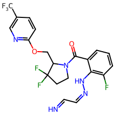 N=C/C=N\Nc1c(F)cccc1C(=O)N1CCC(F)(F)C1COc1ccc(C(F)(F)F)cn1